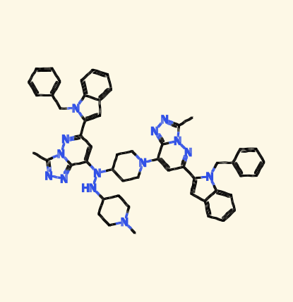 Cc1nnc2c(N3CCC(N(NC4CCN(C)CC4)c4cc(-c5cc6ccccc6n5Cc5ccccc5)nn5c(C)nnc45)CC3)cc(-c3cc4ccccc4n3Cc3ccccc3)nn12